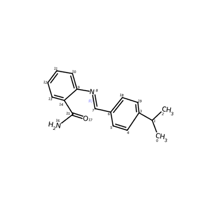 CC(C)c1ccc(/C=N/c2ccccc2C(N)=O)cc1